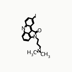 CN(C)CCCN1C(=O)c2c3cc(I)ccc3nc3cccc1c23